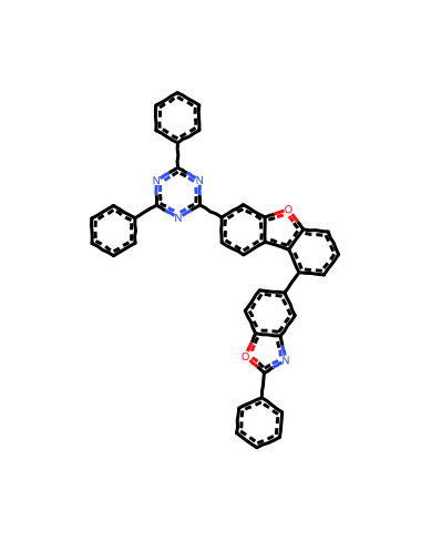 c1ccc(-c2nc(-c3ccccc3)nc(-c3ccc4c(c3)oc3cccc(-c5ccc6oc(-c7ccccc7)nc6c5)c34)n2)cc1